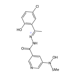 CSN(O)c1cncc(C(=O)N/N=C(\C)c2cc(Cl)ccc2O)c1